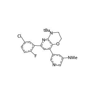 CNc1cncc(-c2cc(-c3cc(Cl)ccc3F)nc3c2OCCN3C(C)(C)C)c1